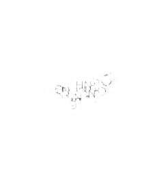 Cc1cc(C(=O)N2CCC3(CC2)NC(Cc2ccccc2)C(=O)N3C)no1